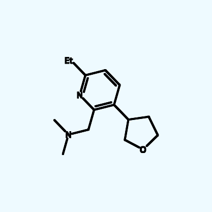 CCc1ccc(C2CCOC2)c(CN(C)C)n1